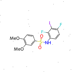 COc1ccc(S(=O)(=O)Nc2ccc(F)c(I)c2F)cc1OC